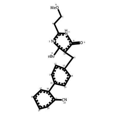 CCCCc1nc(CCOC)[nH]c(=O)c1Cc1ccc(-c2ccccc2C#N)cc1